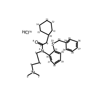 CN(C)CCCN(C(=O)CC1CCCCC1)c1ccccc1SCc1ccccc1.Cl